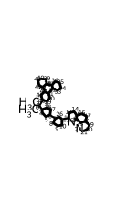 CC1(C)c2ccc(-c3cccc(-c4ccc5ccc6cccnc6c5n4)c3)cc2-c2cc3c4ccccc4c4ccccc4c3cc21